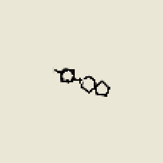 Ic1ccc(N2CCC3(CCCC3)CC2)cc1